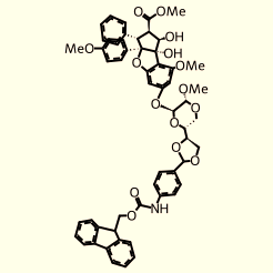 COC(=O)[C@H]1[C@@H](O)[C@@]2(O)c3c(OC)cc(O[C@@H]4O[C@@H]([C@H]5COC(c6ccc(NC(=O)OCC7c8ccccc8-c8ccccc87)cc6)O5)CO[C@H]4OC)cc3O[C@@]2(c2ccc(OC)cc2)[C@@H]1c1ccccc1